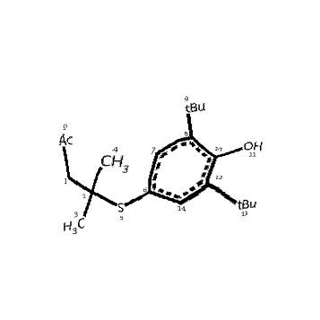 CC(=O)CC(C)(C)Sc1cc(C(C)(C)C)c(O)c(C(C)(C)C)c1